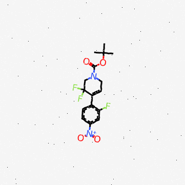 CC(C)(C)OC(=O)N1CC=C(c2ccc([N+](=O)[O-])cc2F)C(F)(F)C1